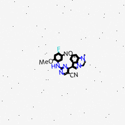 COc1cc(F)c([N+](=O)[O-])cc1Nc1ncc(C#N)c(-c2cn3c4c(cccc24)N(C)CC3)n1